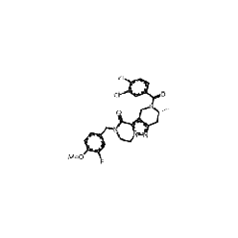 COc1ccc(CN2CCn3nc4c(c3C2=O)CN(C(=O)c2ccc(Cl)c(Cl)c2)[C@H](C)C4)cc1F